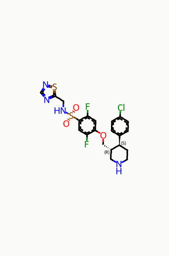 O=S(=O)(NCc1ncns1)c1cc(F)c(OC[C@H]2CNCC[C@@H]2c2ccc(Cl)cc2)cc1F